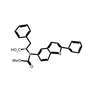 COC(=O)N(c1ccc2nc(-c3ccccc3)ccc2c1)[C@H](Cc1ccccc1)C(=O)O